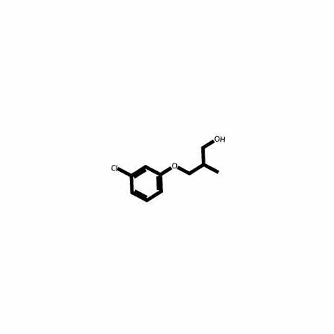 CC(CO)COc1cccc(Cl)c1